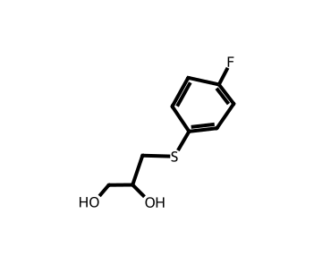 OCC(O)CSc1ccc(F)cc1